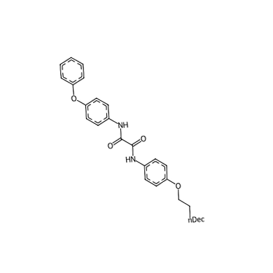 CCCCCCCCCCCCOc1ccc(NC(=O)C(=O)Nc2ccc(Oc3ccccc3)cc2)cc1